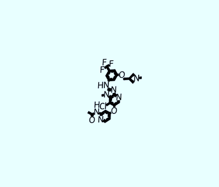 CC(=O)Nc1cc(Oc2cnc3nc(Nc4cc(OCC5CN(C)C5)cc(C(F)(F)F)c4)n(C)c3c2Cl)ccn1